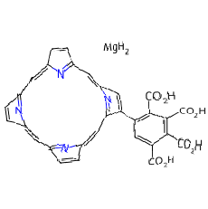 O=C(O)c1cc(C2=CC3=CC4=NC(=CC5=NC(=CC6=NC(=CC2=N3)C=C6)C=C5)C=C4)c(C(=O)O)c(C(=O)O)c1C(=O)O.[MgH2]